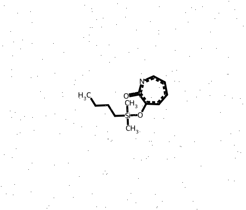 CCCC[Si](C)(C)Oc1ccccnc1=O